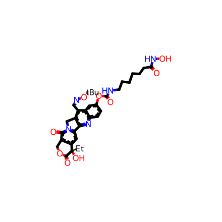 CC[C@@]1(O)C(=O)OCc2c1cc1n(c2=O)Cc2c-1nc1ccc(OC(=O)NCCCCCCC(=O)NO)cc1c2/C=N\OC(C)(C)C